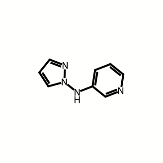 c1cncc(Nn2cccn2)c1